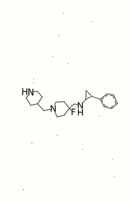 FC1(CNC2CC2c2ccccc2)CCN(CC2CCNCC2)CC1